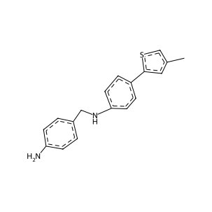 Cc1csc(-c2ccc(NCc3ccc(N)cc3)cc2)c1